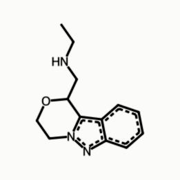 CCNCC1OCCn2nc3ccccc3c21